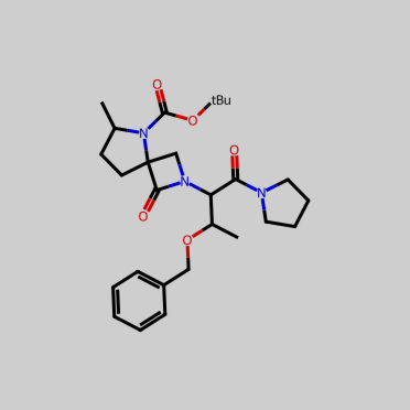 CC(OCc1ccccc1)C(C(=O)N1CCCC1)N1CC2(CCC(C)N2C(=O)OC(C)(C)C)C1=O